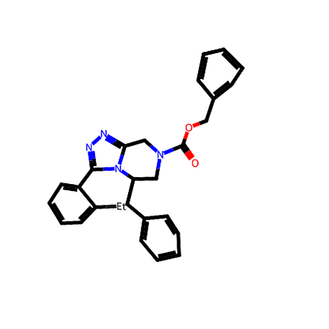 CCc1ccccc1-c1nnc2n1C(Cc1ccccc1)CN(C(=O)OCc1ccccc1)C2